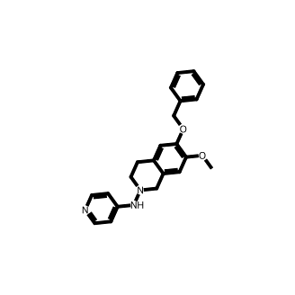 COc1cc2c(cc1OCc1ccccc1)CCN(Nc1ccncc1)C2